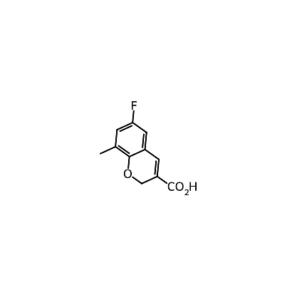 Cc1cc(F)cc2c1OCC(C(=O)O)=C2